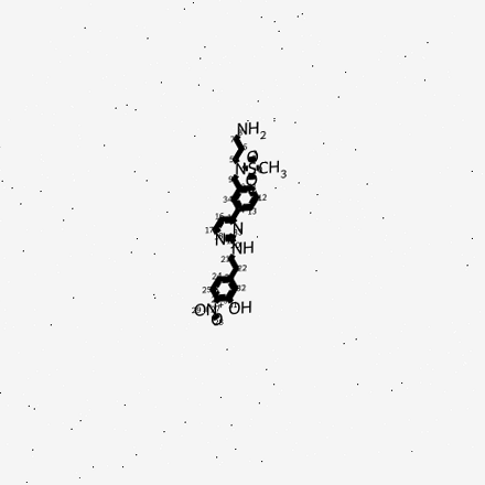 CS(=O)(=O)N(CCCN)Cc1cccc(-c2ccnc(NCCc3ccc([N+](=O)[O-])c(O)c3)n2)c1